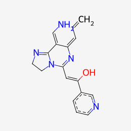 C=C/C=C1N=C(/C=C(\O)c2cccnc2)N2CCN=C2C/1=C/N